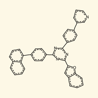 c1cncc(-c2ccc(-c3nc(-c4ccc(-c5cccc6ccccc56)cc4)nc(-c4cc5ccccc5o4)n3)cc2)c1